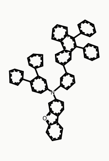 c1ccc(-c2ccc(N(c3cccc(-c4ccc5c(c4)c(-c4ccccc4)c(-c4ccccc4)c4ccccc45)c3)c3ccc4c(c3)oc3ccccc34)cc2-c2ccccc2)cc1